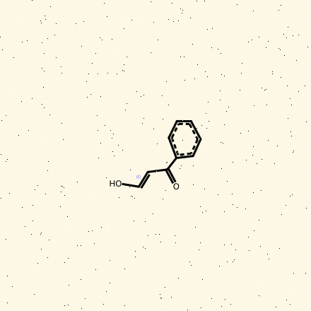 O=C(/C=C/O)c1ccccc1